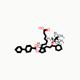 CC(C)(C)[Si](C)(C)OC(CCC1=CC[C@H](OC(=O)c2ccc(-c3ccccc3)cc2)[C@]1(C)CCCCCCC(=O)O)C1CCCCC1